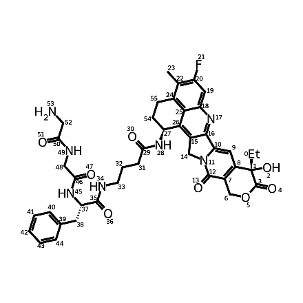 CC[C@@]1(O)C(=O)OCc2c1cc1n(c2=O)Cc2c-1nc1cc(F)c(C)c3c1c2[C@@H](NC(=O)CCCNC(=O)[C@H](Cc1ccccc1)NC(=O)CNC(=O)CN)CC3